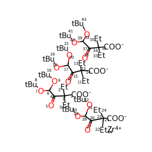 CCC(CC)(C(=O)[O-])C(=O)C(OC(C)(C)C)OC(C)(C)C.CCC(CC)(C(=O)[O-])C(=O)C(OC(C)(C)C)OC(C)(C)C.CCC(CC)(C(=O)[O-])C(=O)C(OC(C)(C)C)OC(C)(C)C.CCC(CC)(C(=O)[O-])C(=O)C(OC(C)(C)C)OC(C)(C)C.[Zr+4]